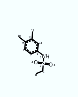 CCS(=O)(=O)Nc1ccc(C)c(C)c1